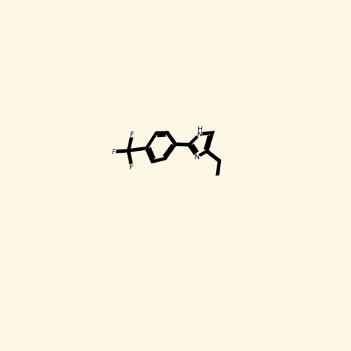 CCc1c[nH]c(-c2ccc(C(F)(F)F)cc2)n1